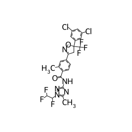 Cc1cc(C2=NOC(c3cc(Cl)cc(Cl)c3)(C(F)(F)F)C2)ccc1C(=O)Nc1nc(C)n(C(F)C(F)F)n1